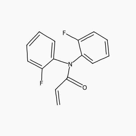 C=CC(=O)N(c1ccccc1F)c1ccccc1F